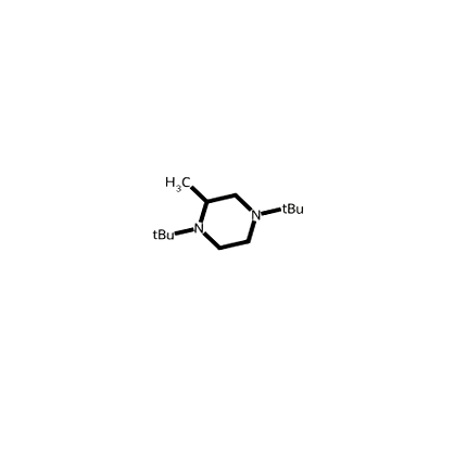 CC1CN(C(C)(C)C)CCN1C(C)(C)C